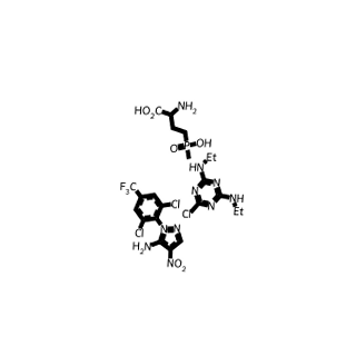 CCNc1nc(Cl)nc(NCC)n1.CP(=O)(O)CCC(N)C(=O)O.Nc1c([N+](=O)[O-])cnn1-c1c(Cl)cc(C(F)(F)F)cc1Cl